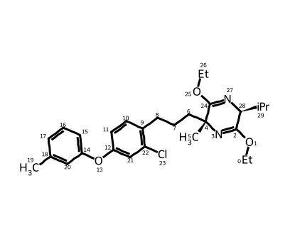 CCOC1=N[C@](C)(CCCc2ccc(Oc3cccc(C)c3)cc2Cl)C(OCC)=N[C@H]1C(C)C